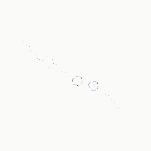 CCCCCCCc1cnc(-c2ccc(OCCCC3CCC(CCCCCC)CC3)cc2)nc1